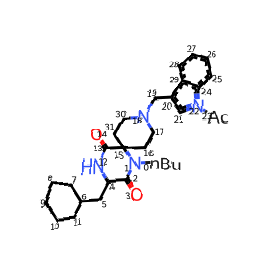 CCCCN1C(=O)C(CC2CCCCC2)NC(=O)C12CCN(Cc1cn(C(C)=O)c3ccccc13)CC2